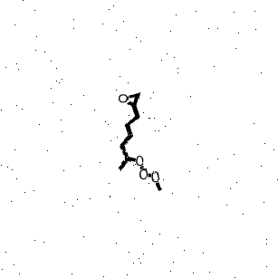 COOOC(C)CCCCC1CO1